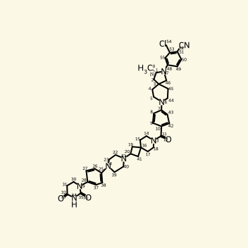 C[C@H]1CC2(CCN(c3ccc(C(=O)N4CCC5(CC4)CC(N4CCN(c6ccc(N7CCC(=O)NC7=O)cc6)CC4)C5)cc3)CC2)CN1c1ccc(C#N)c(Cl)c1